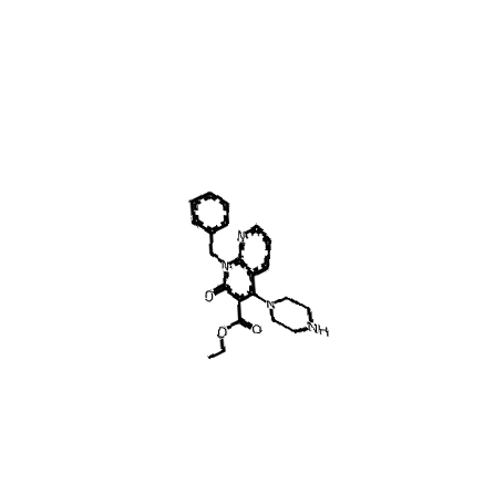 CCOC(=O)c1c(N2CCNCC2)c2cccnc2n(Cc2ccccc2)c1=O